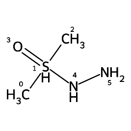 C[SH](C)(=O)NN